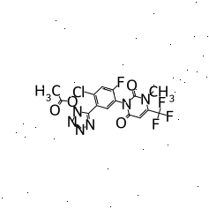 CC(=O)On1nnnc1-c1cc(-n2c(=O)cc(C(F)(F)F)n(C)c2=O)c(F)cc1Cl